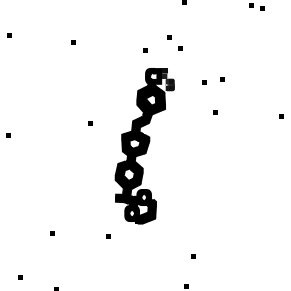 CC(C1CCC(C2CCC(CCc3ccc(C(F)(F)F)cc3)CC2)CC1)C1OCCCO1